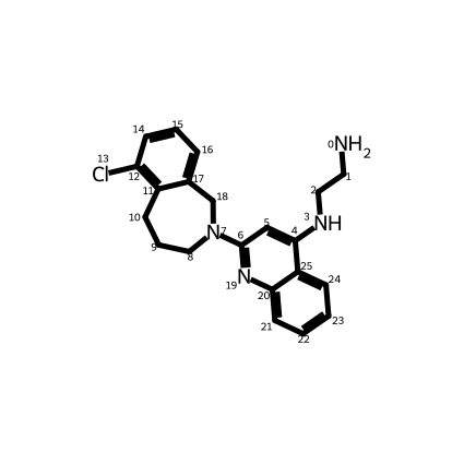 NCCNc1cc(N2CCCc3c(Cl)cccc3C2)nc2ccccc12